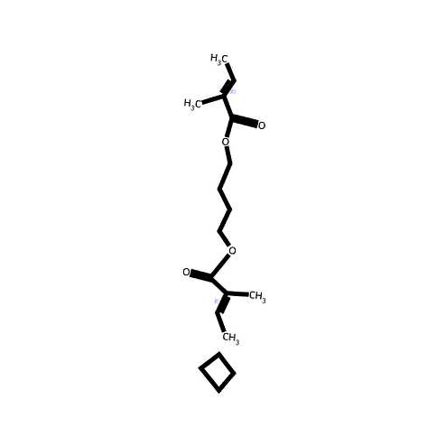 C/C=C(\C)C(=O)OCCCCOC(=O)/C(C)=C/C.C1CCC1